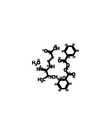 CC(C)C(=N)NCCC(=O)O.O.O=C(OOC(=O)c1ccccc1)c1ccccc1